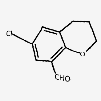 O=[C]c1cc(Cl)cc2c1OCCC2